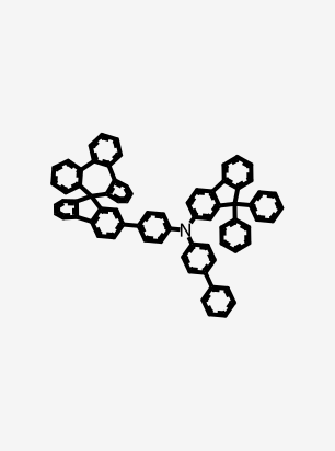 c1ccc(-c2ccc(N(c3ccc(-c4ccc5c(c4)C4(c6ccccc6-c6ccccc6-c6ccccc64)c4ccccc4-5)cc3)c3ccc4c(c3)C(c3ccccc3)(c3ccccc3)c3ccccc3-4)cc2)cc1